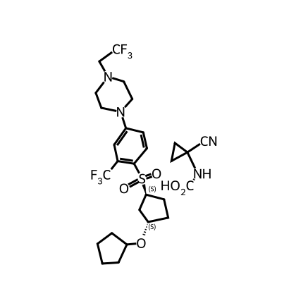 N#CC1(NC(=O)O)CC1.O=S(=O)(c1ccc(N2CCN(CC(F)(F)F)CC2)cc1C(F)(F)F)[C@H]1CC[C@H](OC2CCCC2)C1